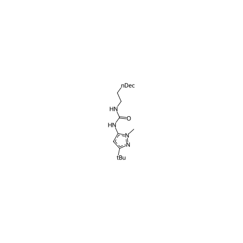 CCCCCCCCCCCCNC(=O)Nc1cc(C(C)(C)C)nn1C